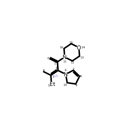 C=C(/C(=C(\C)CC)N1C=CCC1)N1CCOCC1